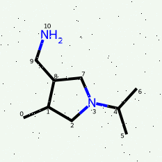 CC1CN(C(C)C)CC1CN